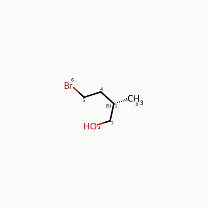 C[C@H](CO)CCBr